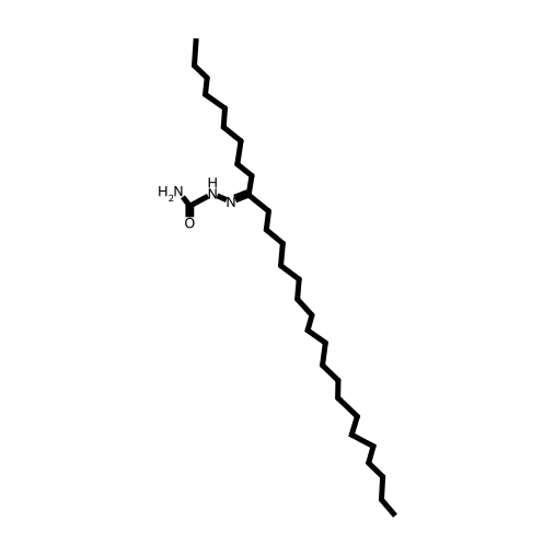 CCCCCCCCCCCCCCCCCCCC(CCCCCCCCC)=NNC(N)=O